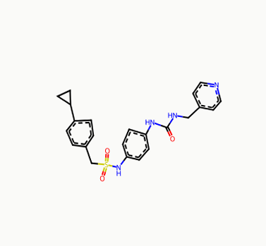 O=C(NCc1ccncc1)Nc1ccc(NS(=O)(=O)Cc2ccc(C3CC3)cc2)cc1